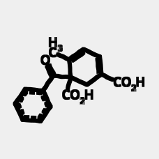 CC1=CC=C(C(=O)O)CC1(C(=O)O)C(=O)c1ccccc1